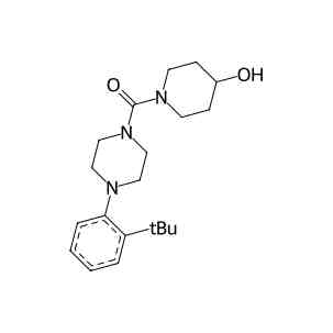 CC(C)(C)c1ccccc1N1CCN(C(=O)N2CCC(O)CC2)CC1